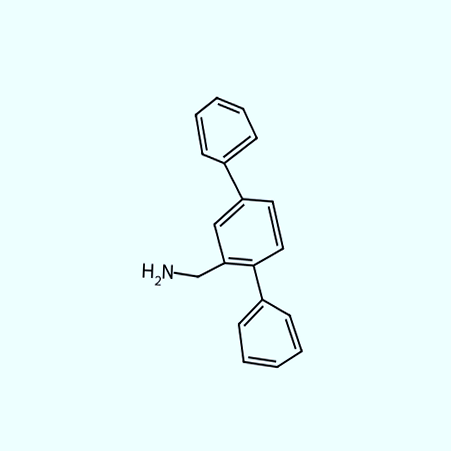 NCc1cc(-c2ccccc2)ccc1-c1ccccc1